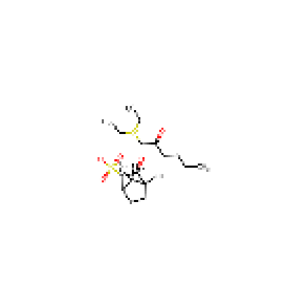 CC12CCC(C(S(=O)(=O)[O-])C1=O)C2(C)C.CCCCC(=O)C[S+](CC)CC